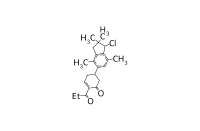 CCC(=O)C1=CCC(c2cc(C)c3c(c2C)CC(C)(C)C3Cl)CC1=O